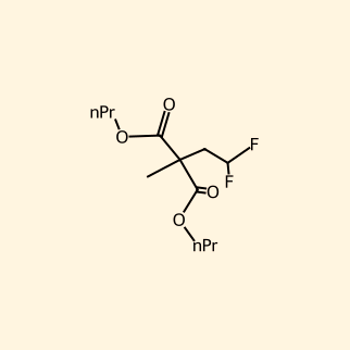 CCCOC(=O)C(C)(CC(F)F)C(=O)OCCC